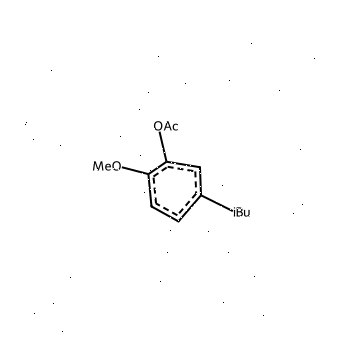 CCC(C)c1ccc(OC)c(OC(C)=O)c1